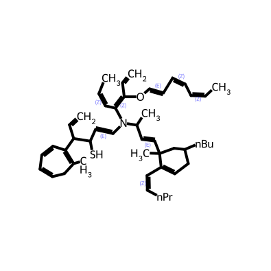 C=C/C(O/C=C/C=C\C=C/C)=C(\C=C/C)N(/C=C/C(S)C(C=C)C1=C(C)CC=CC=C1)C(C)/C=C/C1(C)CC(CCCC)CC=C1/C=C\CCC